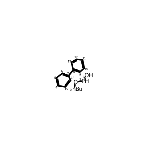 CCCCOPO.c1ccc(-c2ccccc2)cc1